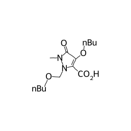 CCCCOCn1c(C(=O)O)c(OCCCC)c(=O)n1C